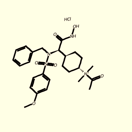 COc1ccc(S(=O)(=O)N(Cc2ccccc2)[C@@H](C(=O)NO)[C@H]2CC[C@H]([N+](C)(C)C(C)=O)CC2)cc1.Cl